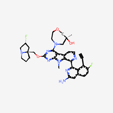 C#Cc1c(F)ccc2cc(N)nc(-c3nccc4c5c(N6CCOC[C@@](C)(O)C6)nc(OC[C@@]67CCCN6C[C@H](F)C7)nc5n(C)c34)c12